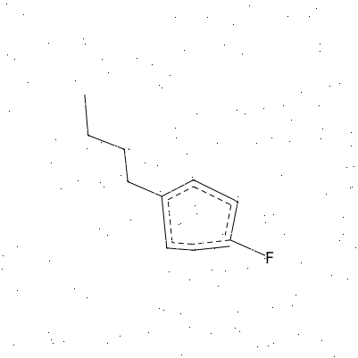 CC[CH]Cc1ccc(F)cc1